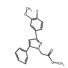 COC(=O)Cn1nc(-c2ccc(F)c(OC)c2)cc1-c1ccccc1